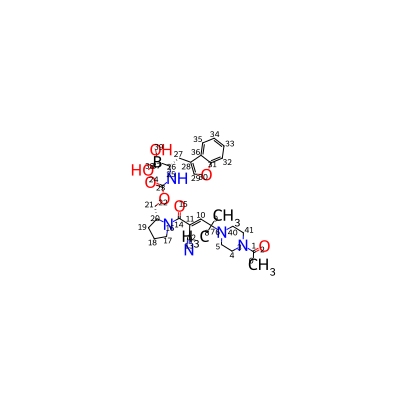 CC(=O)N1CCN(C(C)(C)C=C(C#N)C(=O)N2CCC[C@@H]2COC(=O)N[C@@H](Cc2coc3ccccc23)B(O)O)CC1